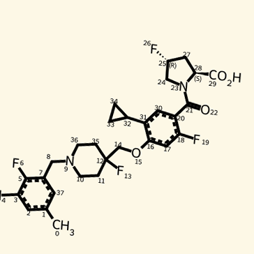 Cc1cc(Cl)c(F)c(CN2CCC(F)(COc3cc(F)c(C(=O)N4C[C@H](F)C[C@H]4C(=O)O)cc3C3CC3)CC2)c1